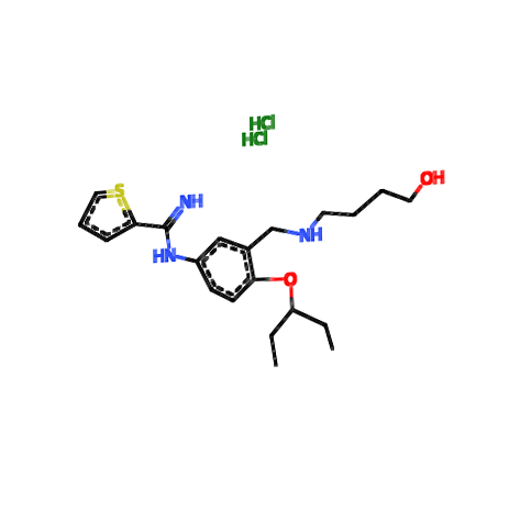 CCC(CC)Oc1ccc(NC(=N)c2cccs2)cc1CNCCCCO.Cl.Cl